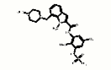 COc1c(NC(=O)c2cc3cccc(CN4CCN(C=O)CC4)c3n2C)cc(C(C)(C)C)cc1NS(C)(=O)=O